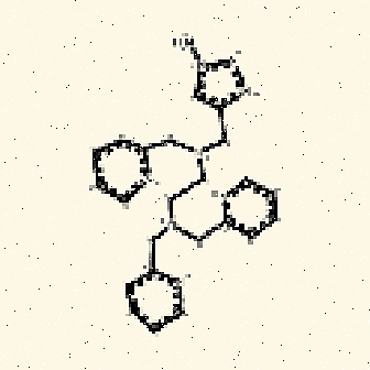 Nn1cc(CN(CCN(Cc2ccccn2)Cc2ccccn2)Cc2ccccn2)nn1